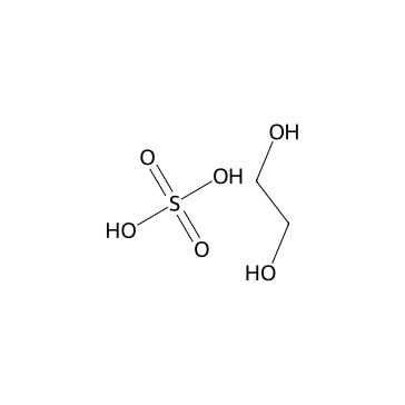 O=S(=O)(O)O.OCCO